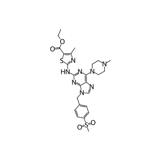 CCOC(=O)c1sc(Nc2nc(N3CCN(C)CC3)c3ncn(Cc4ccc(S(C)(=O)=O)cc4)c3n2)nc1C